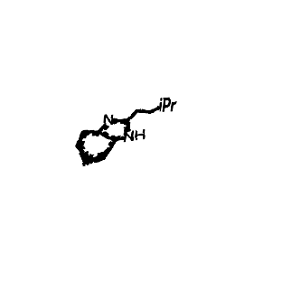 CC(C)CCc1nc2ccccc2[nH]1